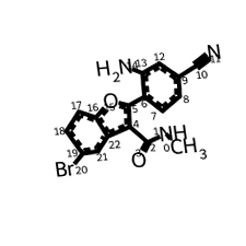 CNC(=O)c1c(-c2ccc(C#N)cc2N)oc2ccc(Br)cc12